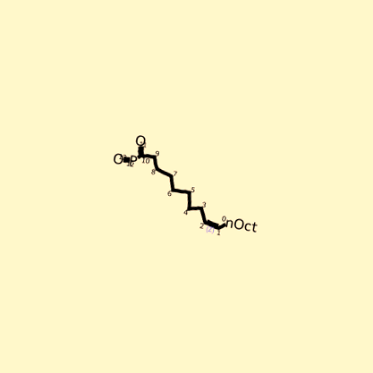 CCCCCCCC/C=C\CCCCCCCC(=O)P=O